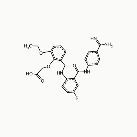 CCOc1cccc(CNc2ccc(F)cc2C(=O)Nc2ccc(C(=N)N)cc2)c1OCC(=O)O